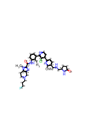 COc1nc(-c2ccnc(-c3cccc(NC(=O)c4nc5c(n4C)CCN(CCCF)C5)c3C)c2Cl)ccc1CNCC1CCC(=O)N1